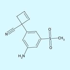 CS(=O)(=O)c1cc(N)cc(C2(C#N)C=CC2)c1